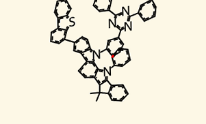 CC1(C)c2ccccc2-c2c1c1ccc3c4cc(-c5cccc6c5sc5ccccc56)ccc4n(-c4cccc(-c5nc(-c6ccccc6)nc(-c6ccccc6)n5)c4)c3c1n2-c1ccccc1